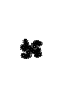 CC1(C)c2cc(-c3c4ccc(N(c5ccc(S(C)(C)C)cc5)c5cccc6ccccc56)cc4c(-c4ccc5c(c4)C(C)(C)c4ccc6ccccc6c4-5)c4ccc(N(c5ccccc5)c5cccc6ccccc56)cc34)ccc2-c2c1ccc1ccccc21